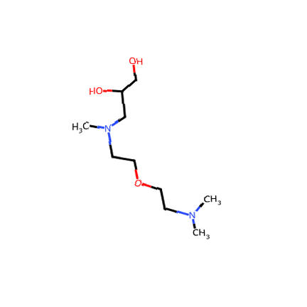 CN(C)CCOCCN(C)CC(O)CO